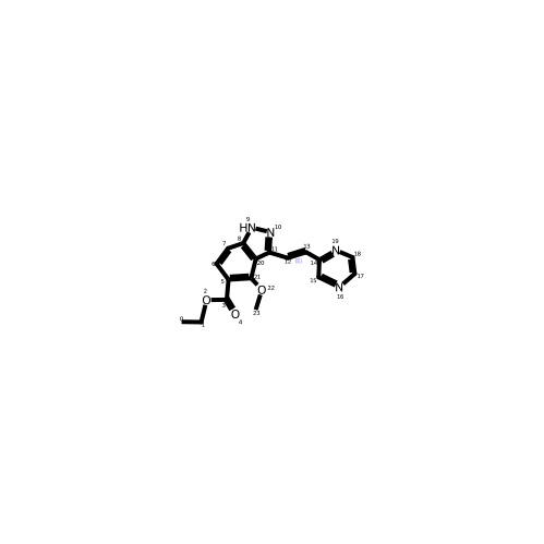 CCOC(=O)c1ccc2[nH]nc(/C=C/c3cnccn3)c2c1OC